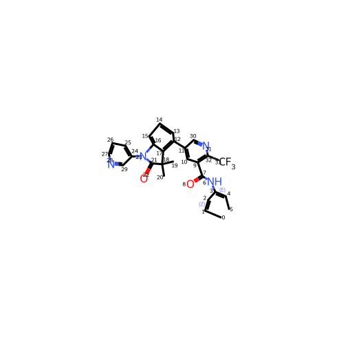 C/C=C\C(=C/C)NC(=O)c1cc(-c2cccc3c2C(C)(C)C(=O)N3c2cccnc2)cnc1C(F)(F)F